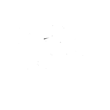 Clc1ccc(CNC(Cc2ccccc2)[C@H]2CNC[C@@H]2c2ccc(Cl)c(Cl)c2)nc1